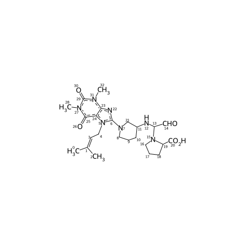 CC(C)=CCn1c(N2CCCC(NC(C=O)N3CCCC3C(=O)O)C2)nc2c1c(=O)n(C)c(=O)n2C